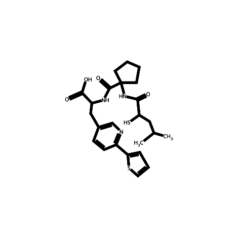 CC(C)CC(S)C(=O)NC1(C(=O)NC(Cc2ccc(-c3cccs3)nc2)C(=O)O)CCCC1